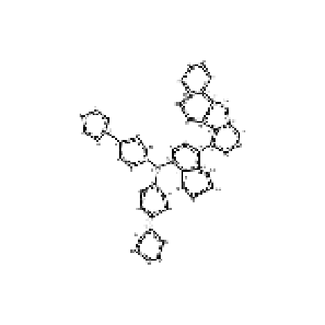 c1ccc(-c2ccc(N(c3ccc(-c4ccccc4)cc3)c3ccc(-c4cccc5oc6c7ccccc7ccc6c45)c4ccccc34)cc2)cc1